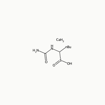 CCCCC(NC(N)=O)S(=O)O.[CaH2]